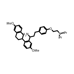 COc1ccc2c(c1)CCC(c1ccc(OC)cc1C(N)CCc1ccc(OCCN(C(C)C)C(C)C)cc1)C2